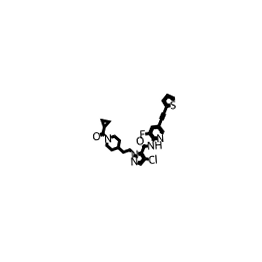 O=C(Nc1ncc(C#Cc2cccs2)cc1F)c1c(Cl)cnn1CCC1CCN(C(=O)C2CC2)CC1